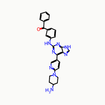 NC1CCN(c2ccc(-c3nc(Nc4cccc(C(=O)c5ccccc5)c4)nc4[nH]cnc34)cn2)CC1